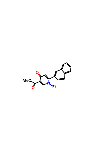 CCn1cc(C(=O)OC)c(=O)cc1-c1ccc2ccccc2c1